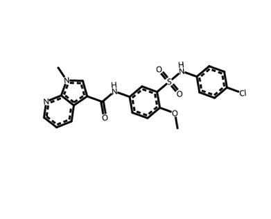 COc1ccc(NC(=O)c2cn(C)c3ncccc23)cc1S(=O)(=O)Nc1ccc(Cl)cc1